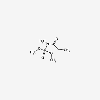 CCC(=O)N(C)P(=O)(OC)OC